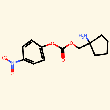 NC1(COC(=O)Oc2ccc([N+](=O)[O-])cc2)CCCC1